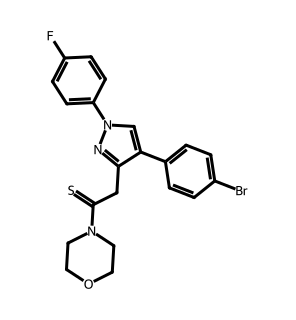 Fc1ccc(-n2cc(-c3ccc(Br)cc3)c(CC(=S)N3CCOCC3)n2)cc1